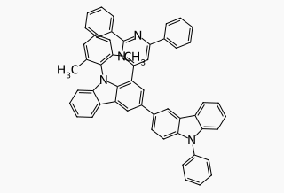 Cc1cccc(C)c1-n1c2ccccc2c2cc(-c3ccc4c(c3)c3ccccc3n4-c3ccccc3)cc(-c3cc(-c4ccccc4)nc(-c4ccccc4)n3)c21